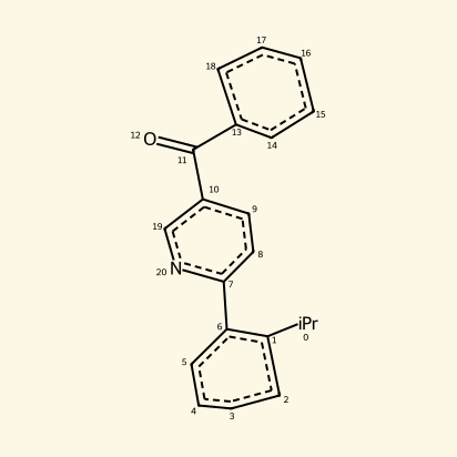 CC(C)c1ccccc1-c1ccc(C(=O)c2ccccc2)cn1